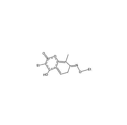 CCON=C1CC=c2c(O)c(CC)c(=O)oc2=C1C